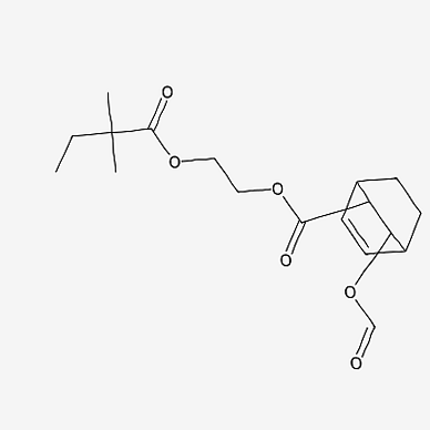 CCC(C)(C)C(=O)OCCOC(=O)C1C2C=CC(CC2)C1OC=O